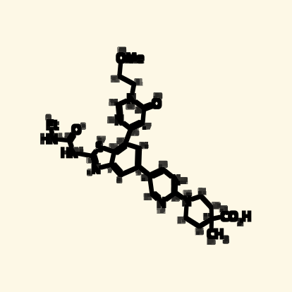 CCNC(=O)Nc1nc2cc(-c3cnc(N4CCC(C)(C(=O)O)CC4)nc3)cc(-c3cc(=O)n(CCOC)cn3)c2s1